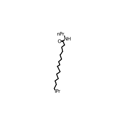 C[CH]CNC(=O)CCCCCCCCCCCCCCC(C)C